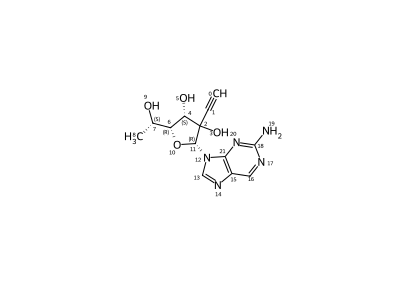 C#CC1(O)[C@@H](O)[C@@H]([C@H](C)O)O[C@H]1n1cnc2cnc(N)nc21